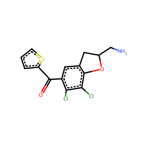 NCC1Cc2cc(C(=O)c3cccs3)c(Cl)c(Cl)c2O1